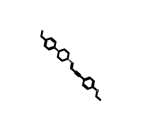 CCOc1ccc(C#CC=C[C@H]2CC[C@H](c3ccc(CC)cc3)CC2)cc1